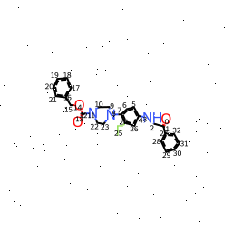 O=C(CNc1ccc(N2CCN(C(=O)OCc3ccccc3)CC2)c(F)c1)c1ccccc1